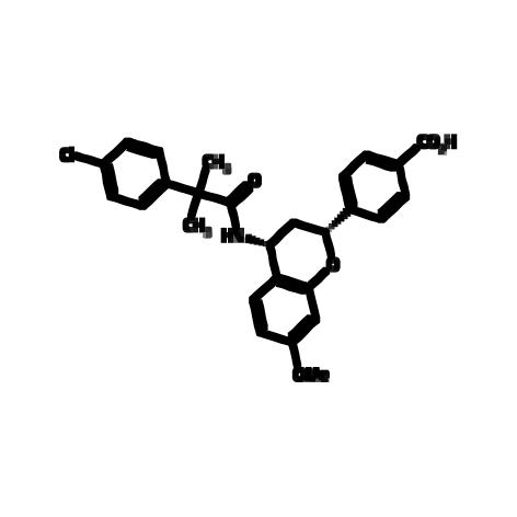 COc1ccc2c(c1)O[C@@H](c1ccc(C(=O)O)cc1)C[C@H]2NC(=O)C(C)(C)c1ccc(Cl)cc1